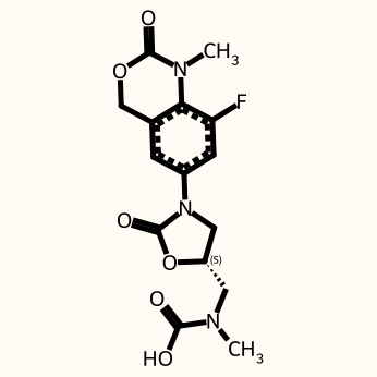 CN(C[C@H]1CN(c2cc(F)c3c(c2)COC(=O)N3C)C(=O)O1)C(=O)O